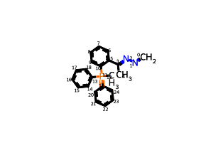 C=N/N=C(\C)c1ccccc1[PH](C)(c1ccccc1)c1ccccc1